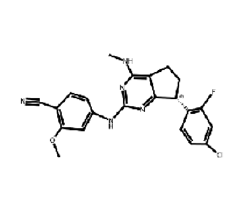 CNc1nc(Nc2ccc(C#N)c(OC)c2)nc2c1CC[C@@H]2c1ccc(Cl)cc1F